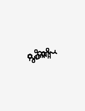 Cc1ccccc1C(=O)N1CCN2c3nnc(C(=O)NCCC(C)C)cc3CC(=O)C2C1